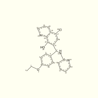 CCOc1ccc(C(Nc2ccccn2)c2cc(Cl)c3cccnc3c2O)cc1